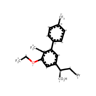 CC(C)C[C@@H](C(=O)O)c1cc(OCC(F)(F)F)c(C(F)(F)F)c(-c2ccc(C(F)(F)F)cc2)c1